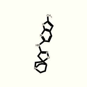 Cc1cc2ccc(NC3=NOC4(C3)CN3CCC4CC3)nc2s1